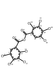 O=C(OC(=O)c1cc(Cl)c(Cl)c(Cl)c1Cl)c1cc(Cl)c(Cl)c(Cl)c1Cl